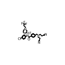 N#CCCN(CCC#N)Cc1ccc(C(=O)Nc2ccc(Cl)cc2N2CCN(CCC(F)(F)F)CC2)c(F)c1